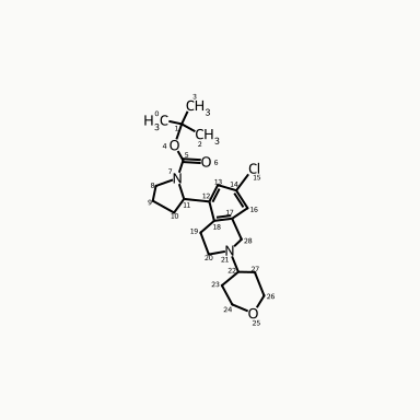 CC(C)(C)OC(=O)N1CCCC1c1cc(Cl)cc2c1CCN(C1CCOCC1)C2